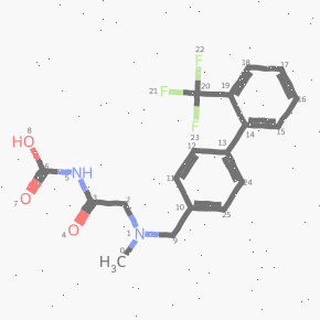 CN(CC(=O)NC(=O)O)Cc1ccc(-c2ccccc2C(F)(F)F)cc1